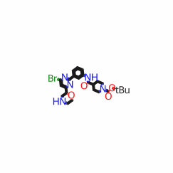 CC(C)(C)OC(=O)N1CCC(C(=O)Nc2cccc(-c3nc(Br)cc(C4CNCCO4)n3)c2)CC1